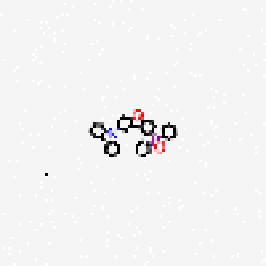 O=P(c1ccccc1)(c1ccccc1)c1ccc2oc3ccc(-n4c5ccccc5c5ccccc54)cc3c2c1